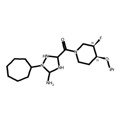 CC(C)O[C@H]1CCN(C(=O)C2NC(N)N(C3CCCCCC3)N2)C[C@H]1F